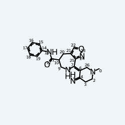 CN1CCC(=N)/C(=C2\NCC(C(=O)Nc3ccccc3)Cc3conc32)C1